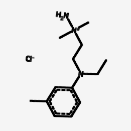 CCN(CC[N+](C)(C)N)c1cccc(C)c1.[Cl-]